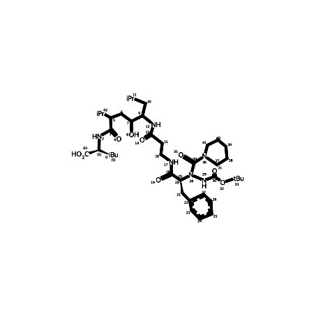 CC[C@H](C)[C@H](NC(=O)C(CC(O)C(CC(C)C)NC(=O)CCNC(=O)[C@H](Cc1ccccc1)N(NC(=O)OC(C)(C)C)C(=O)N1CCCCC1)C(C)C)C(=O)O